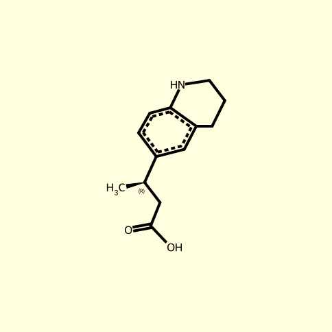 C[C@H](CC(=O)O)c1ccc2c(c1)CCCN2